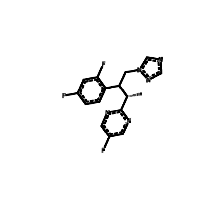 C[C@@H]([C](Cn1cncn1)c1ccc(F)cc1F)c1ncc(F)cn1